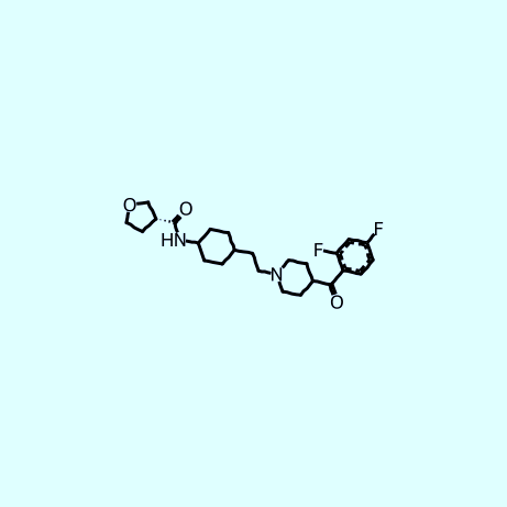 O=C(c1ccc(F)cc1F)C1CCN(CCC2CCC(NC(=O)[C@@H]3CCOC3)CC2)CC1